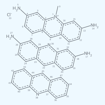 C[n+]1c2cc(N)ccc2cc2ccc(N)cc21.Nc1ccc2cc3ccc(N)cc3nc2c1.[Cl-].c1ccc2nc3ccccc3cc2c1